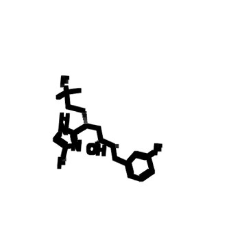 CC(C)(F)CC[C@H](C[C@@H](O)[CH]Cc1cccc(F)c1)c1nc(F)c[nH]1